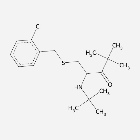 CC(C)(C)NC(CSCc1ccccc1Cl)C(=O)C(C)(C)C